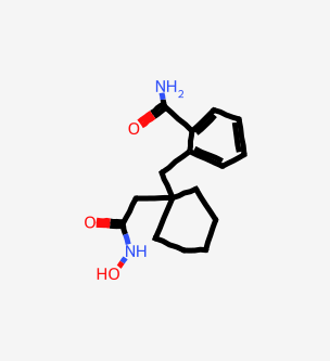 NC(=O)c1ccccc1CC1(CC(=O)NO)CCCCC1